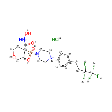 Cl.O=C(NO)C1(S(=O)(=O)N2CCN(c3ccc(CCC(F)(F)C(F)(F)F)cc3)CC2)CCOCC1